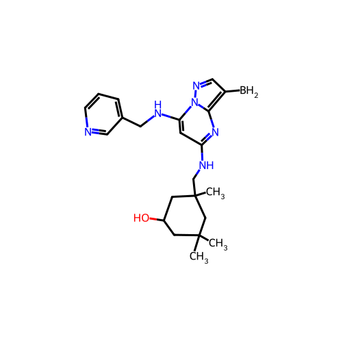 Bc1cnn2c(NCc3cccnc3)cc(NCC3(C)CC(O)CC(C)(C)C3)nc12